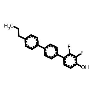 CCCc1ccc(-c2ccc(-c3ccc(O)c(F)c3F)cc2)cc1